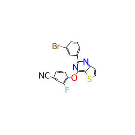 N#Cc1ccc(Oc2nc(-c3cccc(Br)c3)nc3ccsc23)c(F)c1